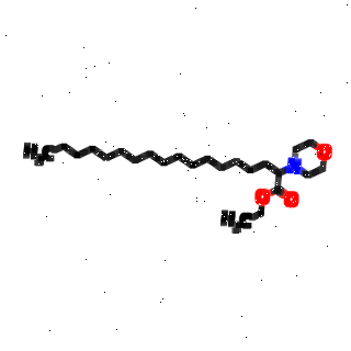 CCCCCCCCCCCCCCCCC(C(=O)OCC)N1CCOCC1